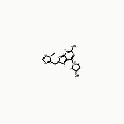 Cn1ncnc1Cn1nc2nc(C(C)(C)C)nc(N3CCC(O)C3)c2n1